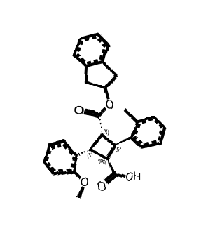 COc1ccccc1[C@H]1[C@H](C(=O)O)[C@H](c2ccccc2C)[C@H]1C(=O)OC1Cc2ccccc2C1